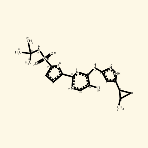 CC1CC1c1cc(Nc2nc(-c3ccc(S(=O)(=O)NC(C)(C)C)s3)ncc2Cl)n[nH]1